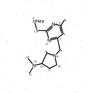 CCCCCCSc1nc(C)cc(CN2CCC(N(C)C)C2)n1